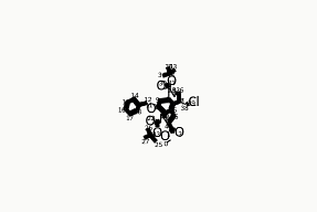 COC(=O)c1cc2c3c(cc(OCc4ccccc4)c2n1C(=O)OC(C)(C)C)N(C(=O)OC(C)(C)C)C[C@@H]3CCl